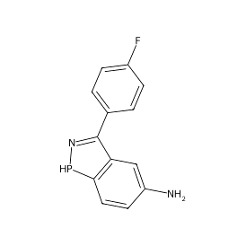 Nc1ccc2[pH]nc(-c3ccc(F)cc3)c2c1